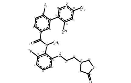 CN(C(=O)c1ccc(Cl)c(-c2cnc(C(F)(F)F)cc2C#N)c1)c1c(F)cccc1OCCN1CSC(=O)C1